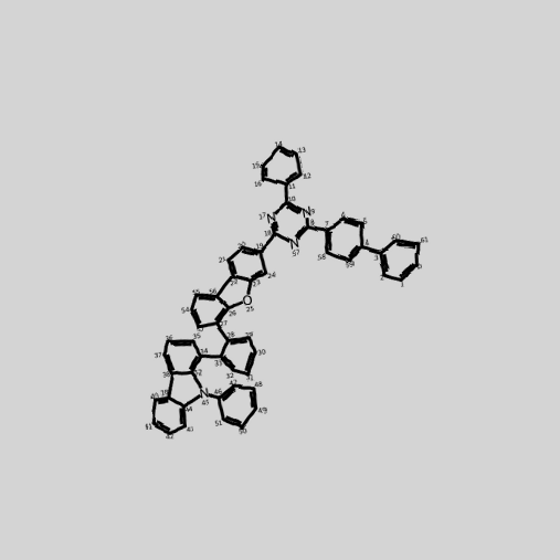 c1ccc(-c2ccc(-c3nc(-c4ccccc4)nc(-c4ccc5c(c4)oc4c(-c6ccccc6-c6cccc7c8ccccc8n(-c8ccccc8)c67)cccc45)n3)cc2)cc1